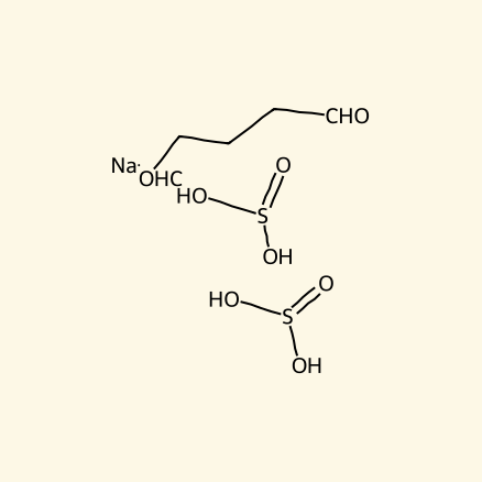 O=CCCCC=O.O=S(O)O.O=S(O)O.[Na]